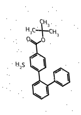 CC(C)(C)OC(=O)c1ccc(-c2ccccc2-c2ccccc2)cc1.S